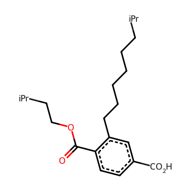 CC(C)CCCCCCc1cc(C(=O)O)ccc1C(=O)OCCC(C)C